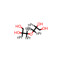 CCCC(O)(CO)C(CCC)(CCC)OC(CCC)(CCC)C(O)(CO)CCC